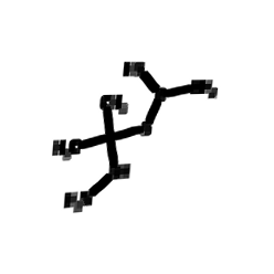 BB(S)SC(C)(C)BN